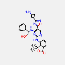 CC1(C)OC(=O)c2cccc(Nc3ncc(-c4nc(C56CC(N)(C5)C6)no4)c(N[C@H](CO)c4ccccc4)n3)c21